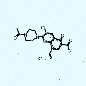 C=Cn1cc(C(=O)[O-])c(=O)c2cc(Cl)c(N3CCN(C(C)=O)CC3)nc21.[K+]